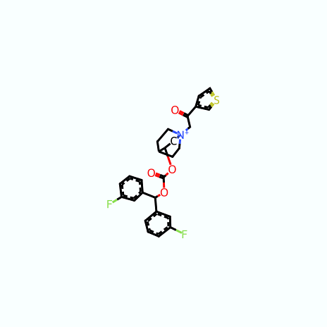 O=C(OC(c1cccc(F)c1)c1cccc(F)c1)OC1C[N+]2(CC(=O)c3ccsc3)CCC1CC2